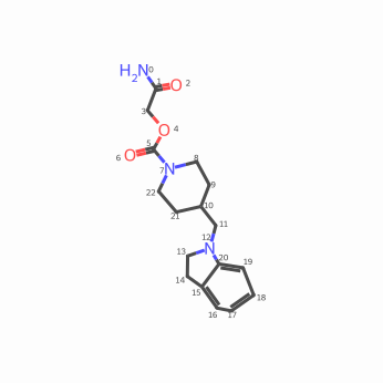 NC(=O)COC(=O)N1CCC(CN2CCc3ccccc32)CC1